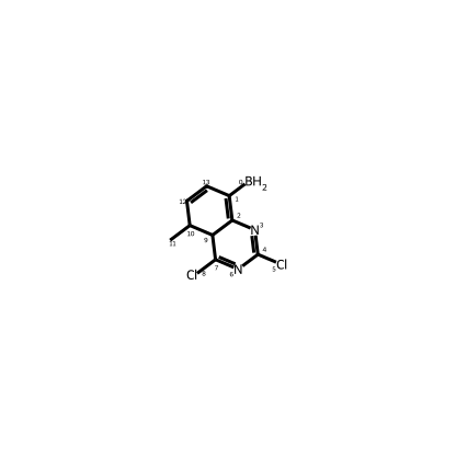 BC1=C2N=C(Cl)N=C(Cl)C2C(C)C=C1